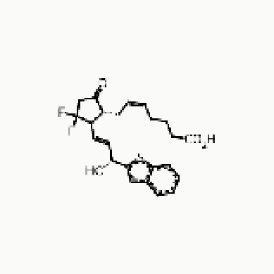 O=C(O)CCC/C=C\C[C@H]1C(=O)CC(F)(F)[C@@H]1/C=C/[C@@H](O)c1cc2ccccc2s1